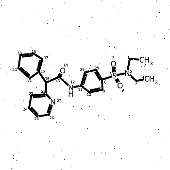 CCN(CC)S(=O)(=O)c1ccc(NC(=O)C(c2ccccc2)c2ccccn2)cc1